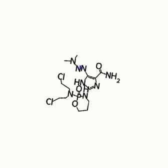 CN(C)/N=N/c1[nH]cnc1C(N)=O.O=P1(N(CCCl)CCCl)NCCCO1